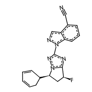 N#Cc1cccc2c1cnn2-c1nc2n(n1)[C@H](C1C=CC=CC1)C[C@@H]2F